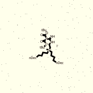 CCCCCCCCCCCCCC[N+](C)(CCCCCCCCCCCCCC)CCNC(=N)N(C(=O)OC(C)(C)C)C(=O)OC(C)(C)C.[I-]